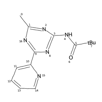 Cc1nc(NC(=O)C(C)(C)C)nc(-c2ccccn2)n1